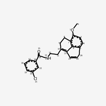 COc1ccc2c3c1CCC(CCNC(=O)c1cccc(Cl)c1)=C3C=CC2